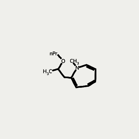 CCCO[C](C)CC1=CC=CC=CN1C